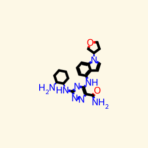 NC(=O)c1nnc(N[C@@H]2CCCC[C@@H]2N)nc1Nc1cccc2c1ccn2[C@@H]1CCOC1